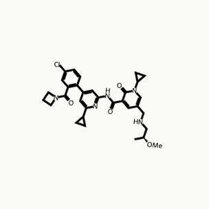 CO[C@@H](C)CNCc1cc(C(=O)Nc2cc(-c3ccc(Cl)cc3C(=O)N3CCC3)cc(C3CC3)n2)c(=O)n(C2CC2)c1